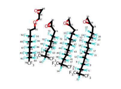 FC(F)(F)C(F)(C(F)(F)F)C(F)(F)C(F)(F)C(F)(F)C(F)(F)C(F)(F)C(F)(F)C(F)(F)C(F)(F)CC1CO1.FC(F)(F)C(F)(C(F)(F)F)C(F)(F)C(F)(F)C(F)(F)C(F)(F)C(F)(F)C(F)(F)CC1CO1.FC(F)(F)C(F)(C(F)(F)F)C(F)(F)C(F)(F)C(F)(F)C(F)(F)CC1CO1.FC(F)(F)C(F)(F)C(F)(F)C(F)(F)C(F)(F)C(F)(F)CCOCC1CO1